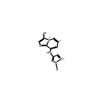 CC(C)c1cnc2c(Nc3cnn(C)c3)cccn12